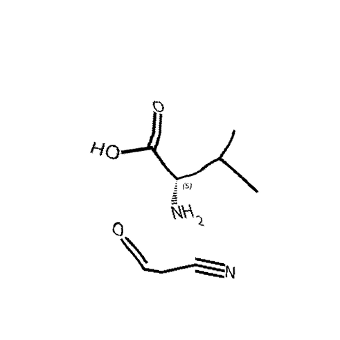 CC(C)[C@H](N)C(=O)O.N#CC=O